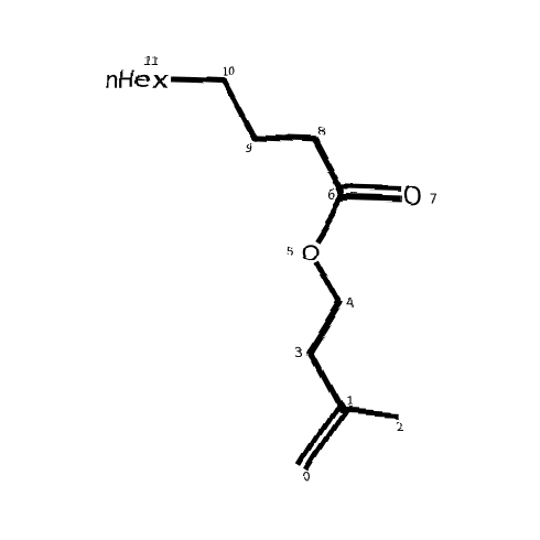 C=C(C)CCOC(=O)CCCCCCCCC